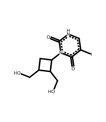 O=c1[nH]cc(I)c(=O)n1C1CC(CO)C1CO